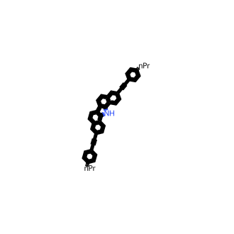 CCCc1ccc(C#Cc2ccc3c(ccc4c5ccc6cc(C#Cc7ccc(CCC)cc7)ccc6c5[nH]c34)c2)cc1